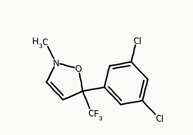 CN1C=CC(c2cc(Cl)cc(Cl)c2)(C(F)(F)F)O1